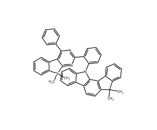 CC1(C)c2ccccc2-c2c1ccc1c3ccccc3n(-c3ccccc3-c3nc(-c4ccccc4)c4c(n3)[Si](C)(C)c3ccccc3-4)c21